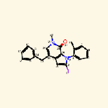 Cc1ccccc1-n1c(I)cc2c(Cc3ccccc3)cn(C)c(=O)c21